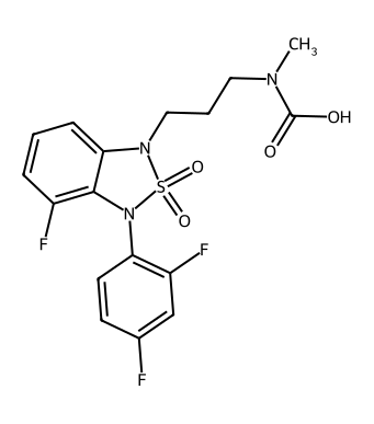 CN(CCCN1c2cccc(F)c2N(c2ccc(F)cc2F)S1(=O)=O)C(=O)O